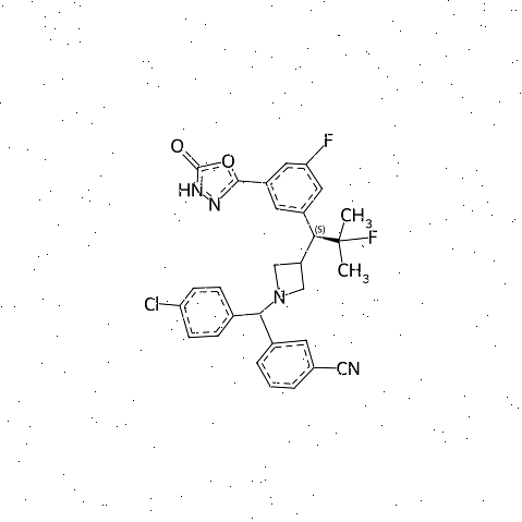 CC(C)(F)[C@H](c1cc(F)cc(-c2n[nH]c(=O)o2)c1)C1CN(C(c2ccc(Cl)cc2)c2cccc(C#N)c2)C1